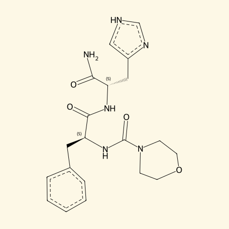 NC(=O)[C@H](Cc1c[nH]cn1)NC(=O)[C@H](Cc1ccccc1)NC(=O)N1CCOCC1